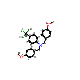 COc1ccc(CN(Cc2ccc(OC)cc2)c2ccc(C(F)(F)F)cc2)cc1